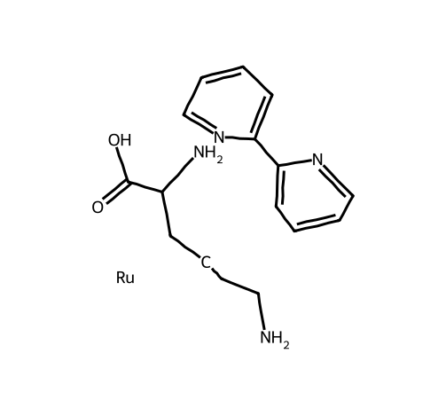 NCCCCC(N)C(=O)O.[Ru].c1ccc(-c2ccccn2)nc1